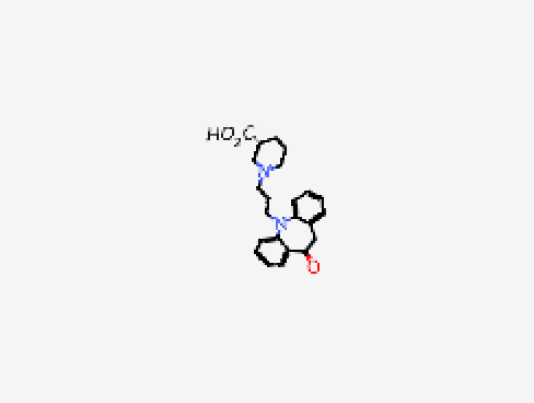 O=C1Cc2ccccc2N(CCCN2CCC[C@@H](C(=O)O)C2)c2ccccc21